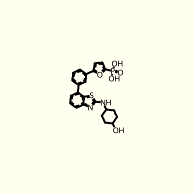 O=P(O)(O)c1ccc(-c2cccc(-c3cccc4nc(NC5CCC(O)CC5)sc34)c2)o1